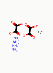 N.N.N.N.O=C([O-])C(=O)[O-].O=C([O-])C(=O)[O-].[Pt+4]